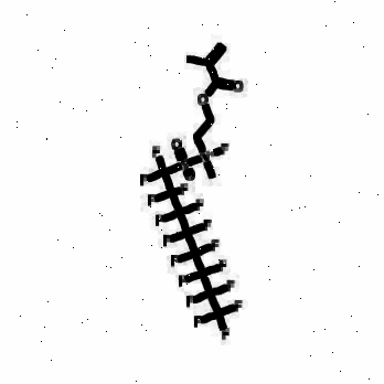 C=C(C)C(=O)OCC[N+](C)(F)S(=O)(=O)C(F)(F)C(F)(F)C(F)(F)C(F)(F)C(F)(F)C(F)(F)C(F)(F)C(F)(F)F